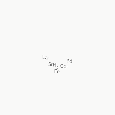 [Co].[Fe].[La].[Pd].[SrH2]